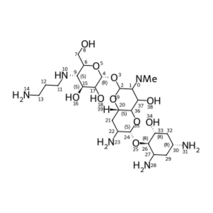 CNC1C(O[C@H]2OC(CO)[C@@H](NCCCN)[C@H](O)C2O)O[C@H]2CC(N)[C@@H](O[C@@H]3C(N)C[C@@H](N)C[C@H]3O)OC2C1O